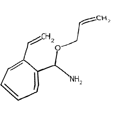 C=CCOC(N)c1ccccc1C=C